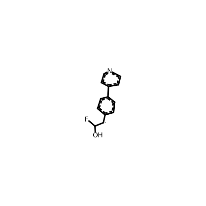 OC(F)[CH]c1ccc(-c2ccncc2)cc1